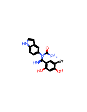 CC(C)c1cc(C(=N)N(C(N)=O)c2ccc3[nH]ccc3c2)c(O)cc1O